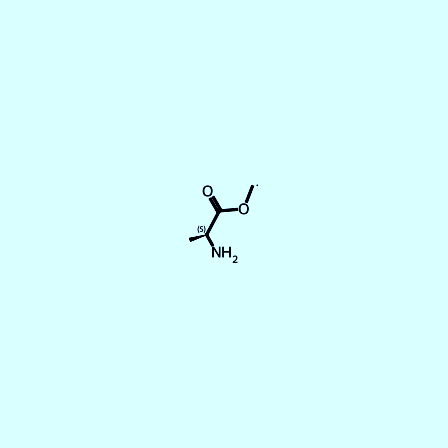 [CH2]OC(=O)[C@H](C)N